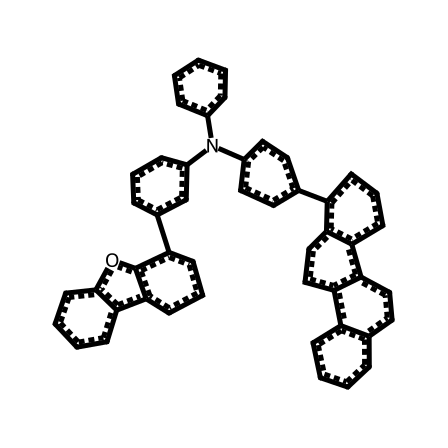 c1ccc(N(c2ccc(-c3cccc4c3ccc3c5ccccc5ccc43)cc2)c2cccc(-c3cccc4c3oc3ccccc34)c2)cc1